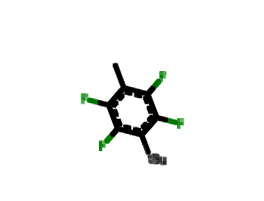 Cc1c(F)c(F)c(C(C)(C)C)c(F)c1F